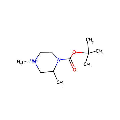 [CH2-][NH+]1CCN(C(=O)OC(C)(C)C)C(C)C1